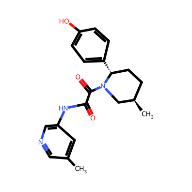 Cc1cncc(NC(=O)C(=O)N2C[C@H](C)CC[C@H]2c2ccc(O)cc2)c1